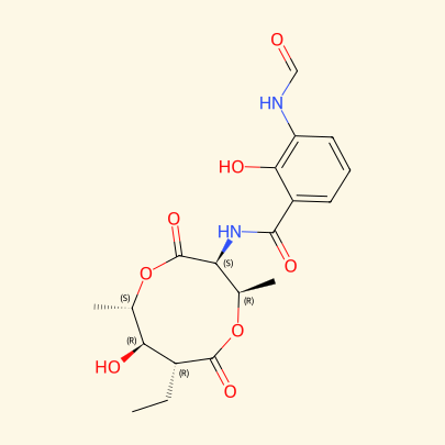 CC[C@H]1C(=O)O[C@H](C)[C@H](NC(=O)c2cccc(NC=O)c2O)C(=O)O[C@@H](C)[C@@H]1O